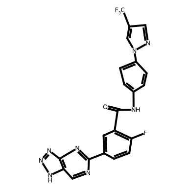 O=C(Nc1ccc(-n2cc(C(F)(F)F)cn2)cc1)c1cc(-c2ncc3[nH]nnc3n2)ccc1F